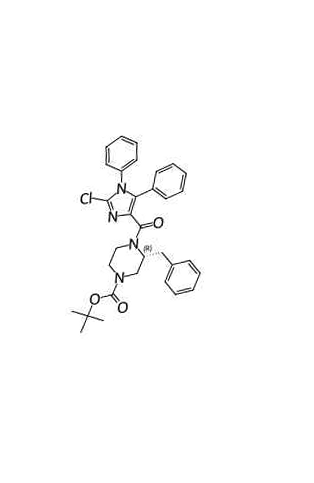 CC(C)(C)OC(=O)N1CCN(C(=O)c2nc(Cl)n(-c3ccccc3)c2-c2ccccc2)[C@H](Cc2ccccc2)C1